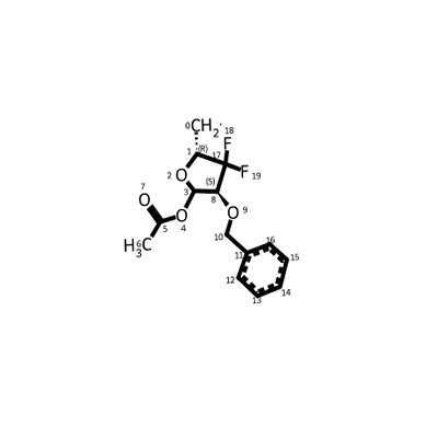 [CH2][C@H]1OC(OC(C)=O)[C@H](OCc2ccccc2)C1(F)F